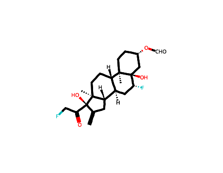 C=C1C[C@H]2[C@@H]3C[C@@H](F)[C@@]4(O)C[C@@H](OC=O)CC[C@]4(C)[C@H]3CC[C@]2(C)[C@@]1(O)C(=O)CF